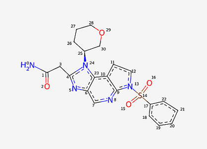 NC(=O)Cc1nc2cnc3c(ccn3S(=O)(=O)c3ccccc3)c2n1[C@H]1CCCOC1